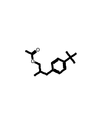 CC(=O)OCC(C)Cc1ccc(C(C)(C)C)cc1